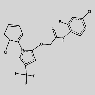 O=C(COc1cc(C(F)(F)F)nn1C1=CC=CCC1Cl)Nc1ccc(Cl)cc1F